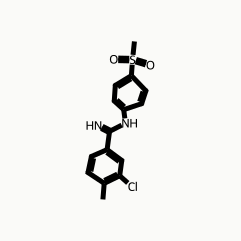 Cc1ccc(C(=N)Nc2ccc(S(C)(=O)=O)cc2)cc1Cl